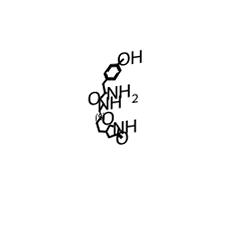 NC(Cc1ccc(O)cc1)C(=O)NC[C@@H]1CCC2CC(=O)NC2O1